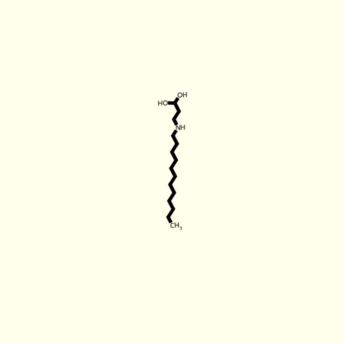 CCCCCCCCCCCCNCCC(O)O